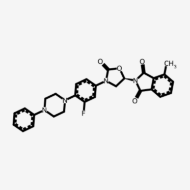 Cc1cccc2c1C(=O)N([C@H]1CN(c3ccc(N4CCN(c5ccccc5)CC4)c(F)c3)C(=O)O1)C2=O